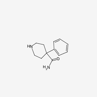 NC(=O)C1(c2ccccc2)CCNCC1